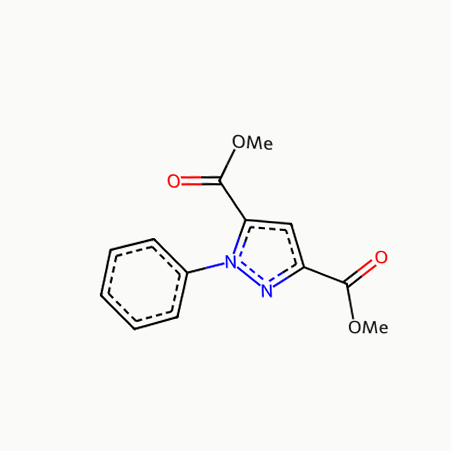 COC(=O)c1cc(C(=O)OC)n(-c2ccccc2)n1